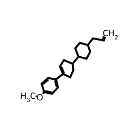 C=CCC1CCC(C2CC=C(c3ccc(OC)cc3)CC2)CC1